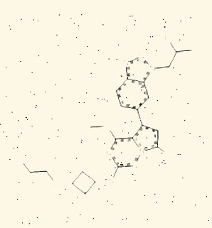 [2H]c1cc(-c2ccc3nnn(CC(F)F)c3c2)c2c(OC)nc(N[C@H]3C[C@@H](OCCO)C3)nn12